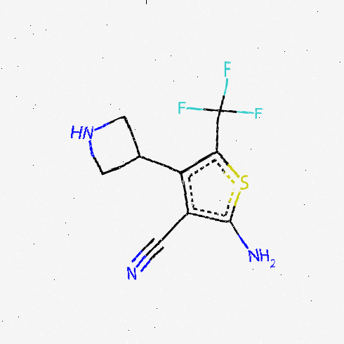 N#Cc1c(N)sc(C(F)(F)F)c1C1CNC1